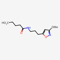 COc1cc(CCCNC(=O)CCCC(=O)O)on1